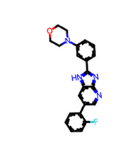 Fc1ccccc1-c1cnc2nc(-c3cccc(N4CCOCC4)c3)[nH]c2c1